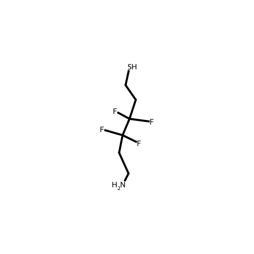 NCCC(F)(F)C(F)(F)CCS